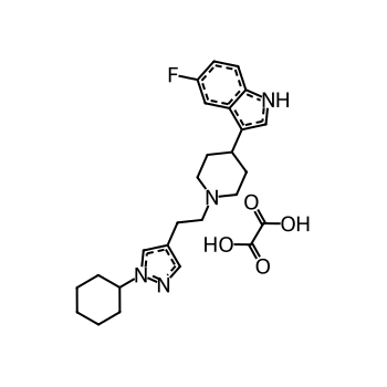 Fc1ccc2[nH]cc(C3CCN(CCc4cnn(C5CCCCC5)c4)CC3)c2c1.O=C(O)C(=O)O